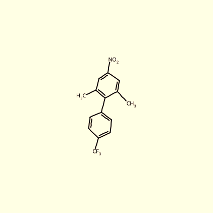 Cc1cc([N+](=O)[O-])cc(C)c1-c1ccc(C(F)(F)F)cc1